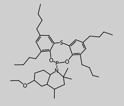 CCCCc1cc(CCCC)c2c(c1)Sc1cc(CCCC)cc(CCCC)c1OP(N1C3CCC(OCC)CC3C(C)CC1(C)C)O2